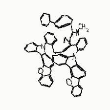 C=N/C(=N\C(=C/Cc1ccccc1-n1c2ccccc2c2c3oc4ccccc4c3ccc21)c1ccccc1-n1c2ccccc2c2c3oc4ccccc4c3ccc21)c1cccc(-c2ccccc2)c1